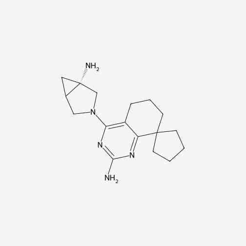 Nc1nc(N2CC3C[C@@]3(N)C2)c2c(n1)C1(CCCC1)CCC2